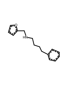 c1ccc(CCCCNCc2ccco2)cc1